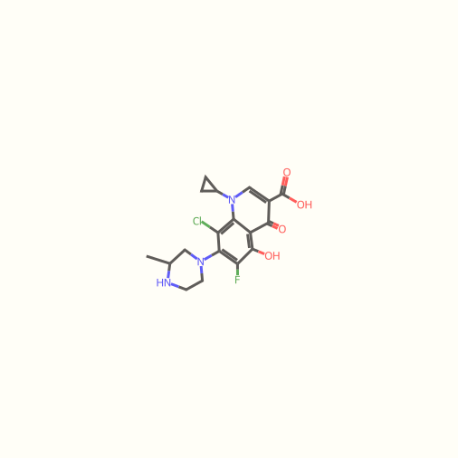 CC1CN(c2c(F)c(O)c3c(=O)c(C(=O)O)cn(C4CC4)c3c2Cl)CCN1